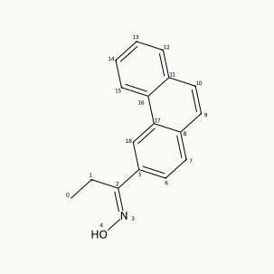 CCC(=NO)c1ccc2ccc3ccccc3c2c1